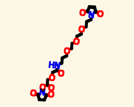 O=C(COCC(=O)ON1C(=O)CCC1=O)NCCCOCCOCCOCCCN1C(=O)C=CC1=O